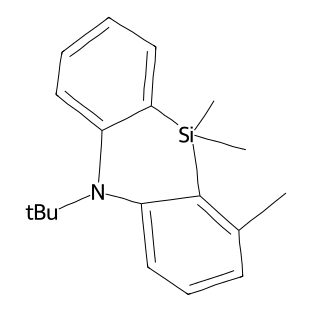 Cc1cccc2c1[Si](C)(C)c1ccccc1N2C(C)(C)C